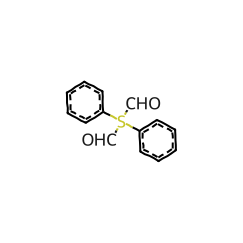 O=CS(C=O)(c1ccccc1)c1ccccc1